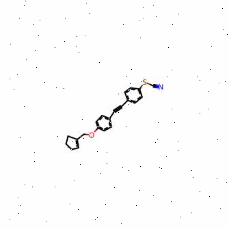 N#CSc1ccc(C#Cc2ccc(OCC3=CCCC3)cc2)cc1